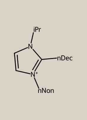 CCCCCCCCCCc1n(C(C)C)cc[n+]1CCCCCCCCC